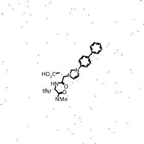 CNC(=O)[C@@H](NC(=O)[C@H](CC(=O)O)N1C=CN(c2ccc(-c3ccccc3)cc2)C1)C(C)(C)C